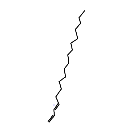 C=C/C=[C]/CCCCCCCCCCCCCC